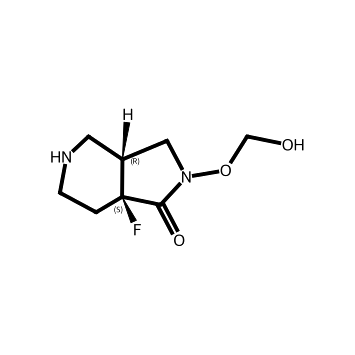 O=C1N(OCO)C[C@H]2CNCC[C@@]12F